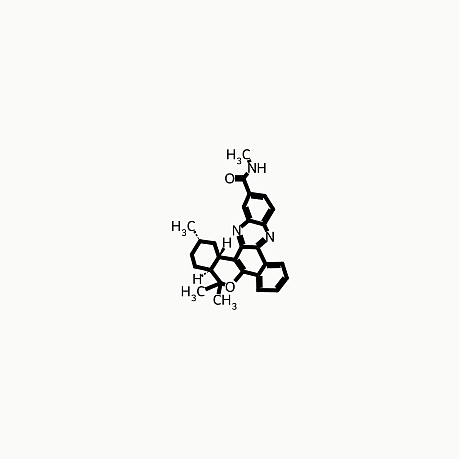 CNC(=O)c1ccc2nc3c(nc2c1)c1c(c2ccccc23)OC(C)(C)[C@H]2CC[C@H](C)C[C@H]12